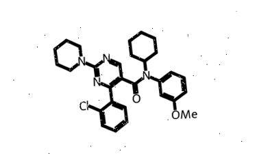 COc1cccc(N(C(=O)c2cnc(N3CCCCC3)nc2-c2ccccc2Cl)C2CCCCC2)c1